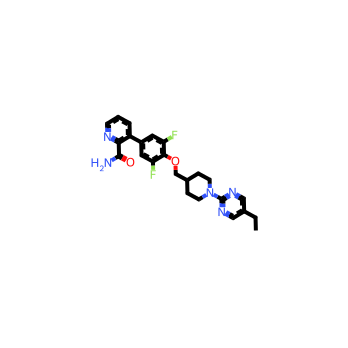 CCc1cnc(N2CCC(COc3c(F)cc(-c4cccnc4C(N)=O)cc3F)CC2)nc1